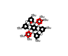 CC[Si]12c3c4cc(C(C)(C)C)cc3N(c3ccc(C(C)(C)C)cc3)c3c5c6c(c(c31)N(c1ccc(C(C)(C)C)cc1)c1cc(C(C)(C)C)cc(c12)O4)N(c1ccc(C(C)(C)C)cc1)c1cc(C(C)(C)C)cc2c1[Si]6(CC)c1c(cc(C(C)(C)C)cc1N5c1ccc(C(C)(C)C)cc1)O2